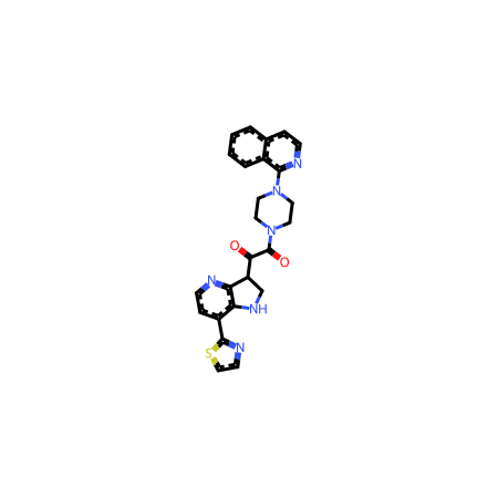 O=C(C(=O)N1CCN(c2nccc3ccccc23)CC1)C1CNc2c(-c3nccs3)ccnc21